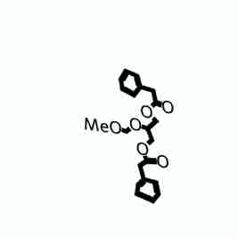 COCOC(COC(=O)Cc1ccccc1)COC(=O)Cc1ccccc1